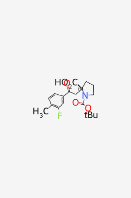 Cc1ccc(C(=O)C[C@]2(C(=O)O)CCCN2C(=O)OC(C)(C)C)cc1F